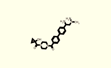 CN(N)CC(N)c1ccc(-c2ccc(C(=O)N3CCN(C(=O)C4(O)CC4)CC3)cc2)cc1